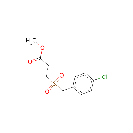 COC(=O)CCS(=O)(=O)Cc1ccc(Cl)cc1